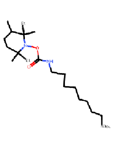 CCCCCCCCCCCCCCCCCCNC(=O)ON1C(C)(CC)CCC(C)C1(C)CC